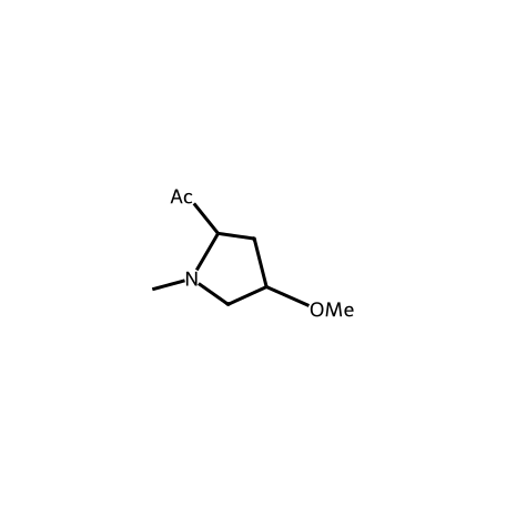 COC1CC(C(C)=O)N(C)C1